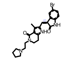 Cc1c(/C=C2\C(=O)Nc3ccc(Br)cc32)[nH]c2c1C(=O)N(CCN1CCCC1)CC2